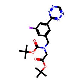 CC(C)(C)OC(=O)CN(Cc1cc(I)cc(-c2nncnn2)c1)C(=O)OC(C)(C)C